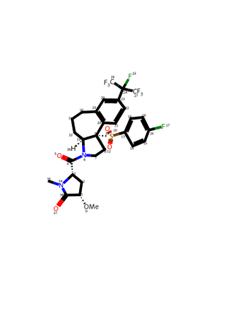 CO[C@H]1C[C@@H](C(=O)N2CC[C@]3(S(=O)(=O)c4ccc(F)cc4)c4ccc(C(F)(C(F)(F)F)C(F)(F)F)cc4CCC[C@H]23)N(C)C1=O